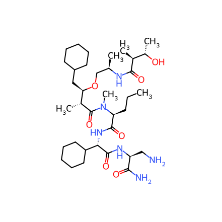 CCC[C@@H](C(=O)N[C@H](C(=O)N[C@@H](CN)C(N)=O)C1CCCCC1)N(C)C(=O)[C@H](C)[C@@H](CC1CCCCC1)OC[C@@H](C)NC(=O)[C@@H](C)[C@H](C)O